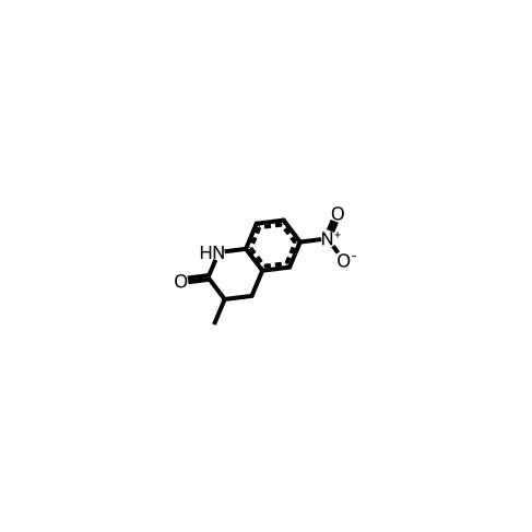 CC1Cc2cc([N+](=O)[O-])ccc2NC1=O